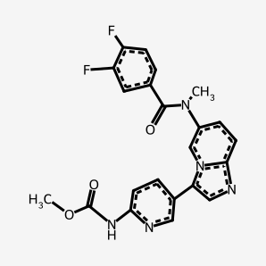 COC(=O)Nc1ccc(-c2cnc3ccc(N(C)C(=O)c4ccc(F)c(F)c4)cn23)cn1